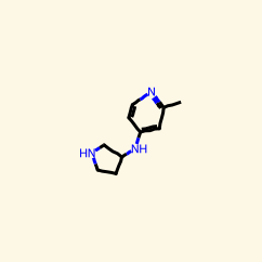 Cc1cc(NC2CCNC2)ccn1